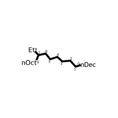 [CH2]CCCCCCCCCCCCCCCC(CC)CCCCCCC[CH2]